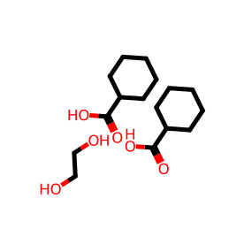 O=C(O)C1CCCCC1.O=C(O)C1CCCCC1.OCCO